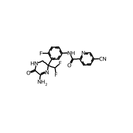 N#Cc1ccc(C(=O)Nc2ccc(F)c(C3(C(F)F)CNC(=O)C(N)=N3)c2)nc1